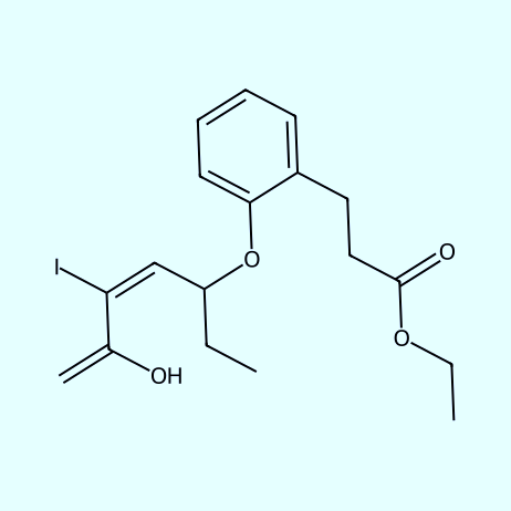 C=C(O)/C(I)=C\C(CC)Oc1ccccc1CCC(=O)OCC